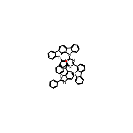 c1ccc(-c2nc(-c3cccc4c3oc3ccccc34)nc(-n3c4ccccc4c4ccc5c6ccccc6n(-c6ccc(-c7cccc8nc(-c9ccccc9)oc78)cc6)c5c43)n2)cc1